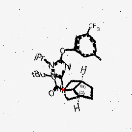 Cc1cc(Oc2nc(NC3[C@@H]4CC[C@H]3CN(C(=O)OC(C)(C)C)C4)nn2C(C)C)cc(C(F)(F)F)c1